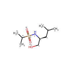 CC(C)C[C@@H](CO)NS(=O)(=O)C(C)C